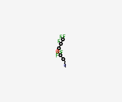 C/C=C/CCc1ccc(-c2cc(F)c(C(F)(F)Oc3ccc(-c4ccc(-c5ccc(F)c(F)c5)c(F)c4)cc3)c(F)c2)cc1